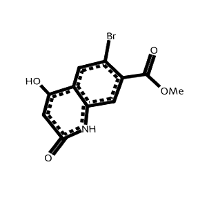 COC(=O)c1cc2[nH]c(=O)cc(O)c2cc1Br